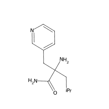 CC(C)CC(N)(Cc1cccnc1)C(N)=O